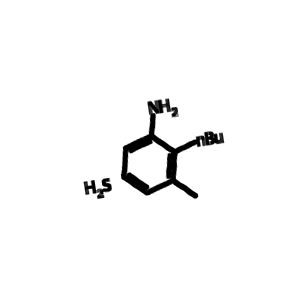 CCCCc1c(C)cccc1N.S